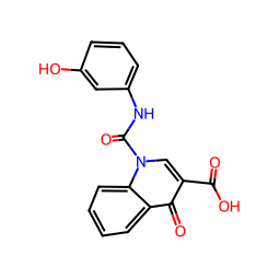 O=C(O)c1cn(C(=O)Nc2cccc(O)c2)c2ccccc2c1=O